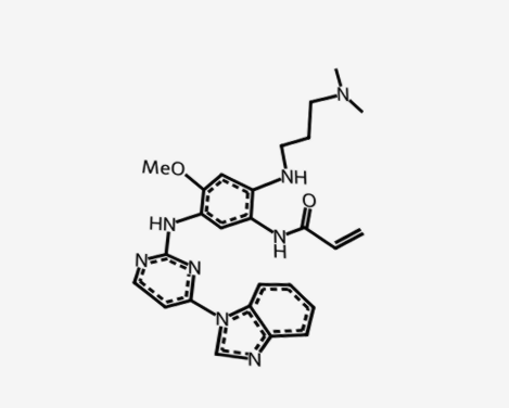 C=CC(=O)Nc1cc(Nc2nccc(-n3cnc4ccccc43)n2)c(OC)cc1NCCCN(C)C